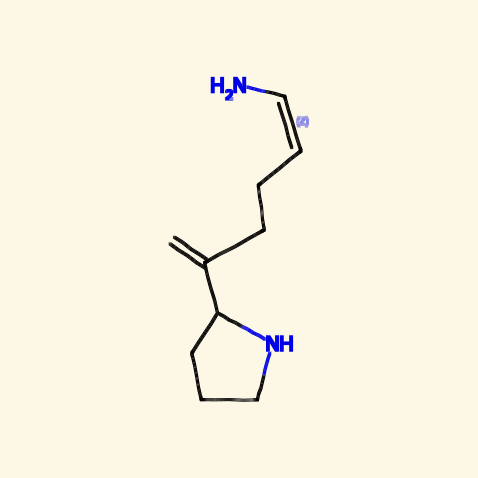 C=C(CC/C=C\N)C1CCCN1